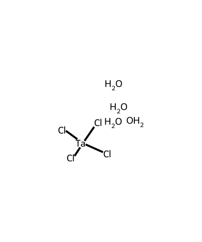 O.O.O.O.[Cl][Ta]([Cl])([Cl])[Cl]